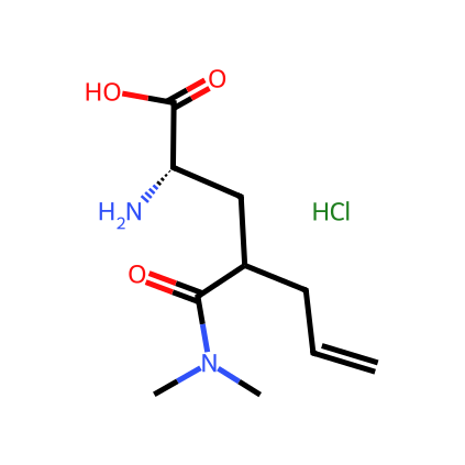 C=CCC(C[C@H](N)C(=O)O)C(=O)N(C)C.Cl